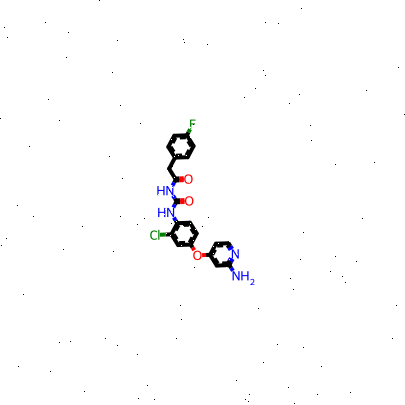 Nc1cc(Oc2ccc(NC(=O)NC(=O)Cc3ccc(F)cc3)c(Cl)c2)ccn1